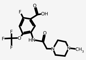 CN1CCN(CC(=O)Nc2cc(C(=O)O)c(F)cc2OC(F)(F)F)CC1